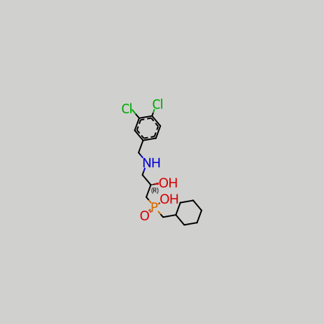 O=P(O)(CC1CCCCC1)C[C@H](O)CNCc1ccc(Cl)c(Cl)c1